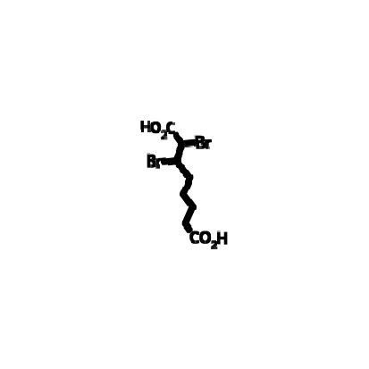 O=C(O)CCCCC(Br)C(Br)C(=O)O